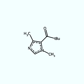 Cc1ncn(C)c1C(=O)C(C)(C)C